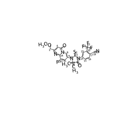 COCc1cc(=O)n2cc(N3C(=S)N(c4ccc(C#N)c(C(F)(F)F)c4)C(=O)C3(C)C)cc(F)c2n1